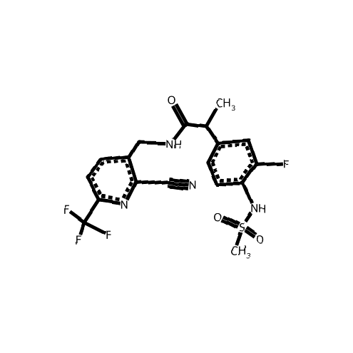 CC(C(=O)NCc1ccc(C(F)(F)F)nc1C#N)c1ccc(NS(C)(=O)=O)c(F)c1